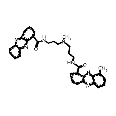 Cc1cccc2nc3cccc(C(=O)NCCCN(C)CCCNC(=O)c4cccc5nc6ccccc6nc45)c3nc12